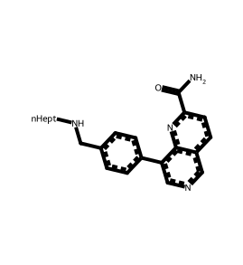 CCCCCCCNCc1ccc(-c2cncc3ccc(C(N)=O)nc23)cc1